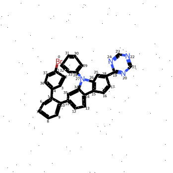 Brc1ccc(-c2ccccc2-c2ccc3c4ccc(-c5ncncn5)cc4n(-c4ccccc4)c3c2)cc1